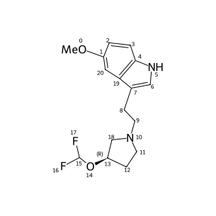 COc1ccc2[nH]cc(CCN3CC[C@@H](OC(F)F)C3)c2c1